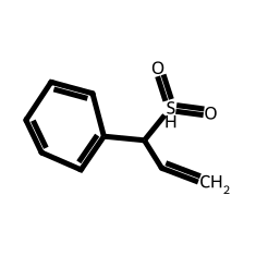 C=CC(c1ccccc1)[SH](=O)=O